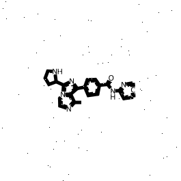 Cc1nccn2c(C3CCCN3)nc(-c3ccc(C(=O)Nc4ccccn4)cc3)c12